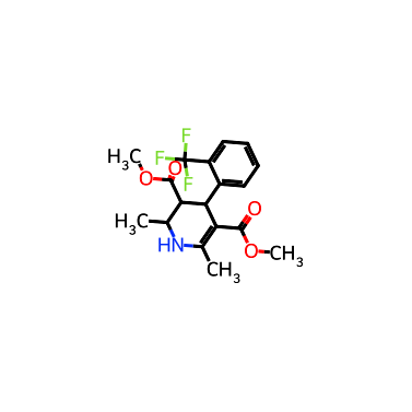 COC(=O)C1=C(C)NC(C)C(C(=O)OC)C1c1ccccc1C(F)(F)F